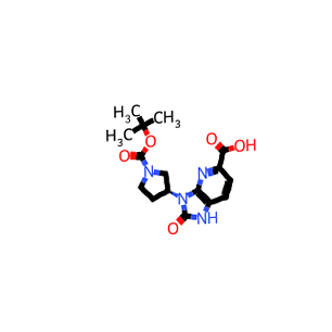 CC(C)(C)OC(=O)N1CC[C@H](n2c(=O)[nH]c3ccc(C(=O)O)nc32)C1